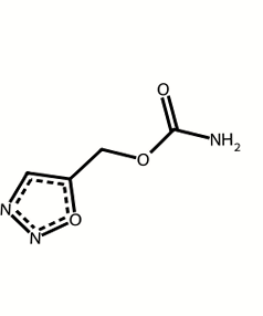 NC(=O)OCc1cnno1